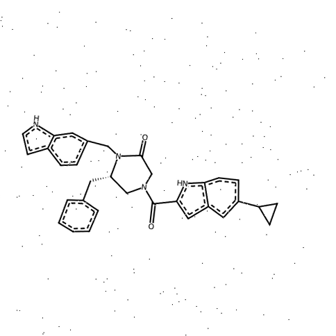 O=C(c1cc2cc(C3CC3)ccc2[nH]1)N1CC(=O)N(Cc2ccc3cc[nH]c3c2)[C@@H](Cc2ccccc2)C1